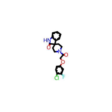 O=C(COc1ccc(Cl)c(F)c1)N1CCC2(CC1)C(=O)Nc1ccccc12